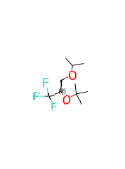 CC(C)OC[C@@H](OC(C)(C)C)C(F)(F)F